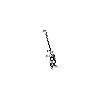 CN1C(=O)C=C[C@@]2(C)C1CC[C@@H]1[C@H]2CC[C@]2(C)C(CNC(=O)CCCCCCCCCCCO)CC[C@@H]12